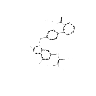 CCCc1nc2c(C)cc(NC(SC)=C(C#N)C#N)cc2n1Cc1ccc(-c2ccccc2C(=O)OC(C)(C)C)cc1